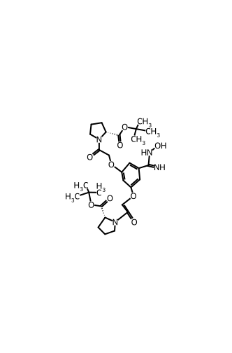 CC(C)(C)OC(=O)[C@H]1CCCN1C(=O)COc1cc(OCC(=O)N2CCC[C@@H]2C(=O)OC(C)(C)C)cc(C(=N)NO)c1